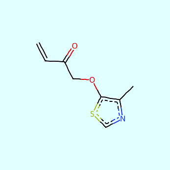 C=CC(=O)COc1scnc1C